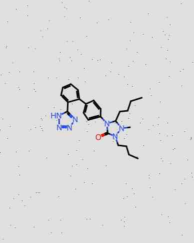 CCCCC1N(c2ccc(-c3ccccc3-c3nnn[nH]3)cc2)C(=O)N(CCCC)N1C